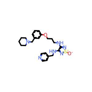 [O-][s+]1nc(NCCCOc2cccc(CN3CCCCC3)c2)c(NCc2ccncc2)n1